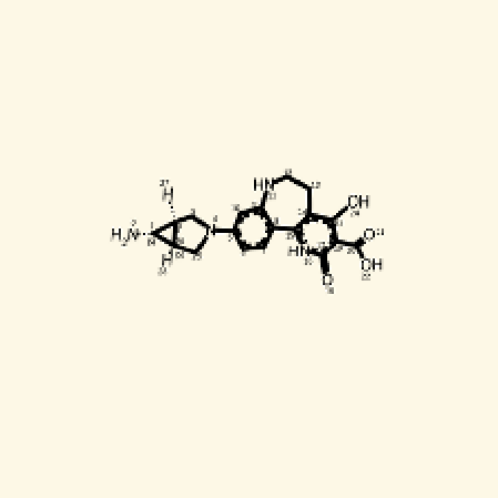 N[C@@H]1[C@H]2CN(c3ccc4c(c3)NCCc3c-4[nH]c(=O)c(C(=O)O)c3O)C[C@@H]12